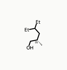 CCC(CC)C[C@H](C)CO